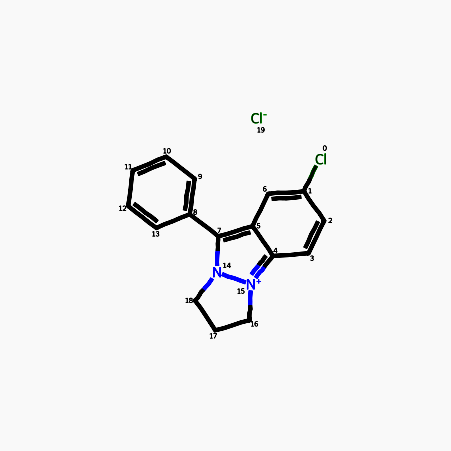 Clc1ccc2c(c1)c(-c1ccccc1)n1[n+]2CCC1.[Cl-]